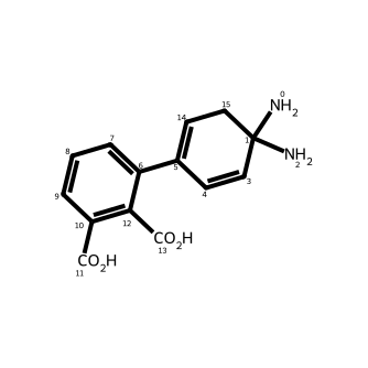 NC1(N)C=CC(c2cccc(C(=O)O)c2C(=O)O)=CC1